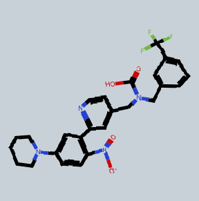 O=C(O)N(Cc1cccc(C(F)(F)F)c1)Cc1ccnc(-c2cc(N3CCCCC3)ccc2[N+](=O)[O-])c1